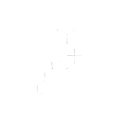 COCNCC(=O)OC(C)(C)CC(C)(C)OC(=O)C(N)C(C)C